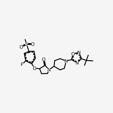 CC(C)(C)c1noc(N2CCC(N3CCC(Oc4ccc(S(C)(=O)=O)cc4F)C3=O)CC2)n1